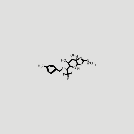 CNC1=N[C@@H]2[C@@H](O)[C@H](O)C([C@@H](OCc3ccc(C)cc3)C(F)(F)F)O[C@@H]2S1